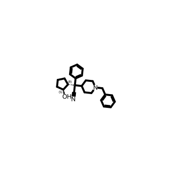 N#CC(c1ccccc1)(C1CCN(Cc2ccccc2)CC1)[C@H]1CCC[C@@H]1O